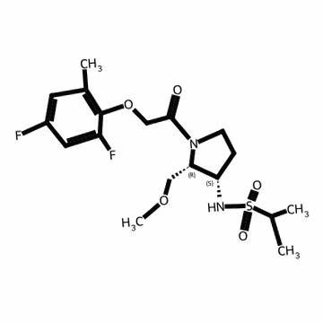 COC[C@H]1[C@@H](NS(=O)(=O)C(C)C)CCN1C(=O)COc1c(C)cc(F)cc1F